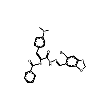 CN(C)c1ccc(C=C(NC(=O)c2ccccc2)C(=O)NN=Cc2cc3c(cc2Br)OCO3)cc1